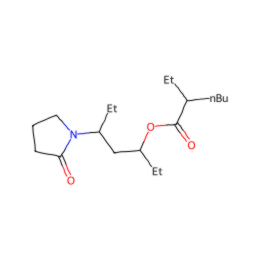 CCCCC(CC)C(=O)OC(CC)CC(CC)N1CCCC1=O